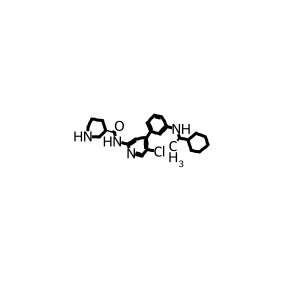 C[C@@H](Nc1cccc(-c2cc(NC(=O)[C@@H]3CCCNC3)ncc2Cl)c1)C1CCCCC1